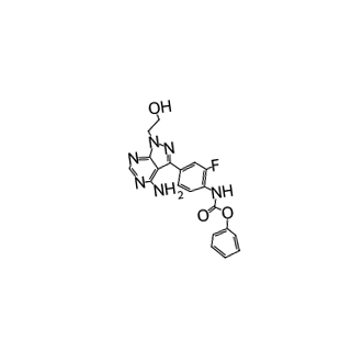 Nc1ncnc2c1c(-c1ccc(NC(=O)Oc3ccccc3)c(F)c1)nn2CCO